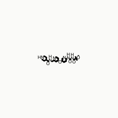 COC(C)(C)C(=O)NC(=O)Nc1ccc(Oc2ccnc(CNC(=O)C3CCNCC3)c2)cn1